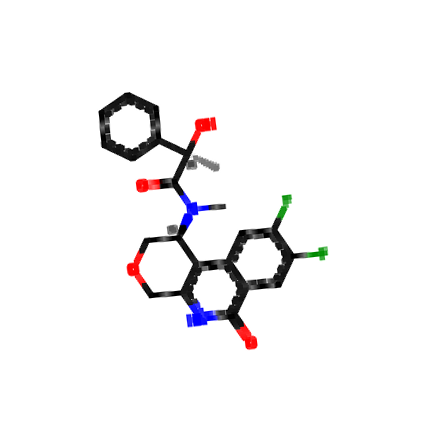 CN(C(=O)[C@](C)(O)c1ccccc1)[C@@H]1COCc2[nH]c(=O)c3cc(F)c(F)cc3c21